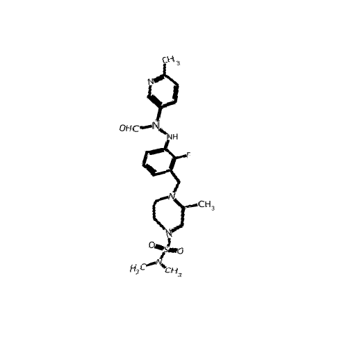 Cc1ccc(N(C=O)Nc2cccc(CN3CCN(S(=O)(=O)N(C)C)C[C@@H]3C)c2F)cn1